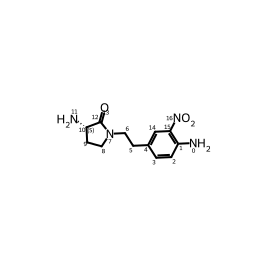 Nc1ccc(CCN2CC[C@H](N)C2=O)cc1[N+](=O)[O-]